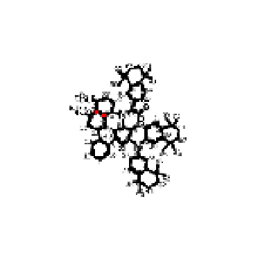 CC(C)(C)c1ccc(N2c3cc(-c4ccccc4-c4cccc(C#N)c4)cc4c3B(c3cc5c(cc3N4c3ccc4c(c3)C(C)(C)CCC4(C)C)C(C)(C)CCC5(C)C)c3sc4cc5c(cc4c32)C(C)(C)CCC5(C)C)cc1